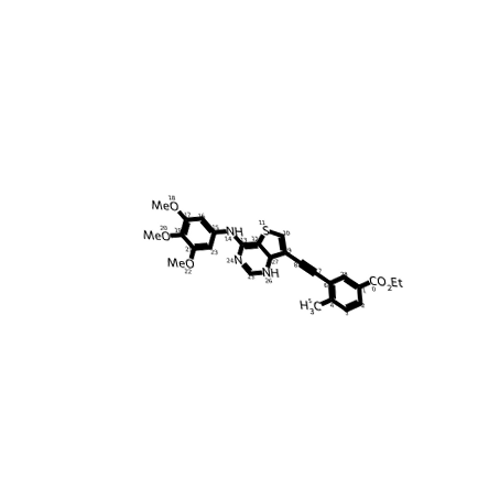 CCOC(=O)c1ccc(C)c(C#CC2=CSC3=C(Nc4cc(OC)c(OC)c(OC)c4)N=CNC23)c1